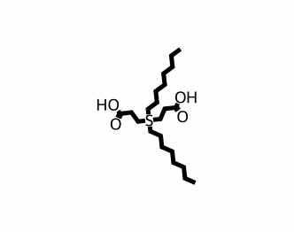 CCCCCCCCS(CCCCCCCC)(CCC(=O)O)CCC(=O)O